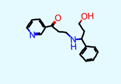 O=C(CCNC(CCO)c1ccccc1)c1cccnc1